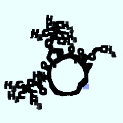 CCOC(=O)C12CC1/C=C/CCCCCC(NC(=O)OC(C)(C)C)C(=O)N1CC(O[Si](C)(C)C(C)(C)C)CC1C(=O)N2